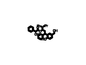 CC(C)N(C(C)C)C(CC(c1ccccc1)c1cc(CO)ccc1O)OC(=O)[C@H](O)c1ccccc1